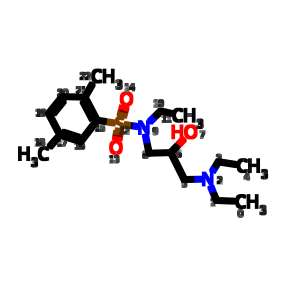 CCN(CC)CC(O)CN(CC)S(=O)(=O)c1cc(C)ccc1C